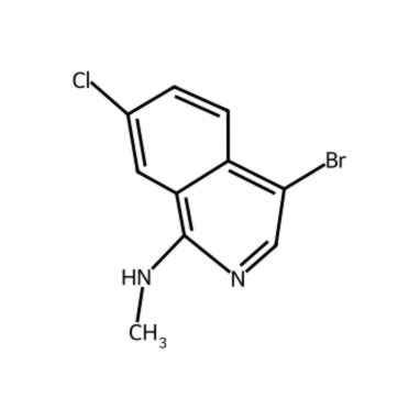 CNc1ncc(Br)c2ccc(Cl)cc12